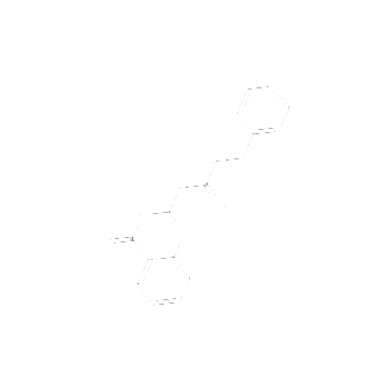 O=C(CCc1ccccc1)CC1OC(=O)c2ccccc2S1